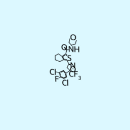 O=C(NC1CCOCC1)c1sc(C2=NOC(c3cc(Cl)c(F)c(Cl)c3)(C(F)(F)F)C2)c2c1CCCC2